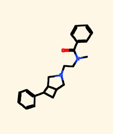 CN(CCN1CC2CC(c3ccccc3)C2C1)C(=O)c1ccccc1